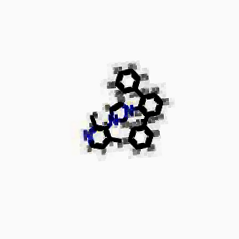 Cc1ccnc(C)c1N1C=CN(c2c(-c3ccccc3)cccc2-c2ccccc2)C1